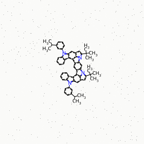 CC(C)c1cccc(-n2c3ccccc3c3c4c5cc6c7c8c9ccccc9n(-c9cccc(C(C)C)c9)c8cc8cc(C(C)(C)C)n(c6cc5n5c(C(C)(C)C)cc(cc32)c45)c87)c1